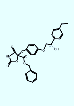 CCc1ccc([C@H](O)COc2ccc(CC3(C(=O)OCc4ccccc4)SC(=O)NC3=O)cc2)nc1